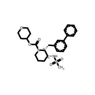 CS(=O)(=O)N[C@@H]1CCCN(C(=O)OC2CCOCC2)[C@@H]1Cc1cccc(-c2ccccc2)c1